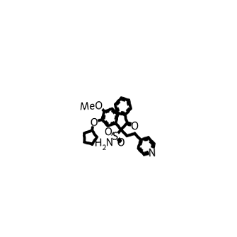 COc1ccc(C(CCc2ccncc2)(C(=O)c2ccccc2)S(N)(=O)=O)cc1OC1CCCC1